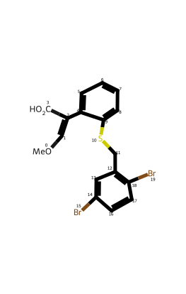 COC=C(C(=O)O)c1ccccc1SCc1cc(Br)ccc1Br